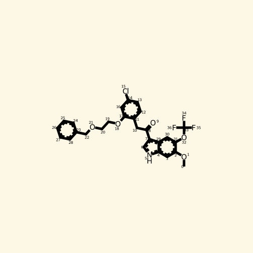 COc1cc2[nH]cc(C(=O)Cc3ccc(Cl)cc3OCCOCc3ccccc3)c2cc1OC(F)(F)F